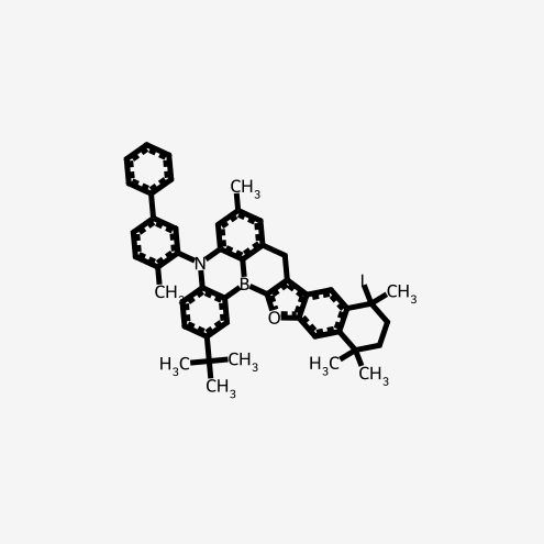 Cc1cc2c3c(c1)N(c1cc(-c4ccccc4)ccc1C)c1ccc(C(C)(C)C)cc1B3c1oc3cc4c(cc3c1C2)C(C)(I)CCC4(C)C